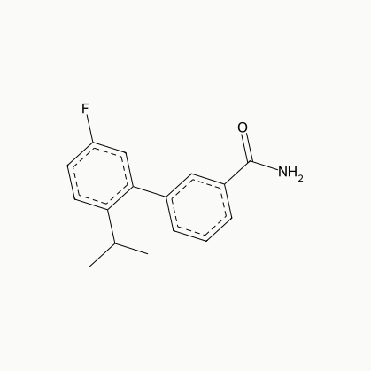 CC(C)c1ccc(F)cc1-c1cccc(C(N)=O)c1